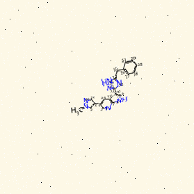 Cn1cc(-c2cnc3[nH]cc(-c4n[nH]c(Cc5ccccc5)n4)c3c2)cn1